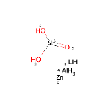 O=[Si](O)O.[AlH3].[LiH].[Zn]